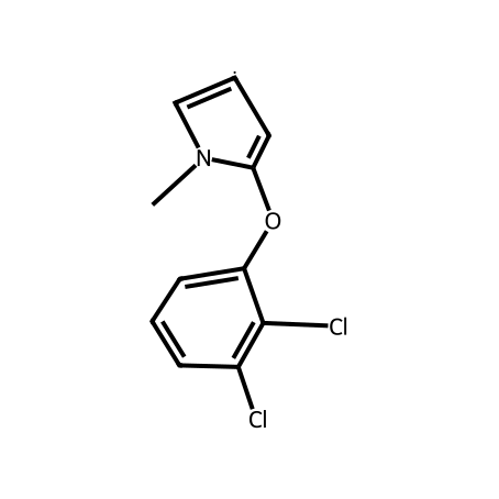 Cn1c[c]cc1Oc1cccc(Cl)c1Cl